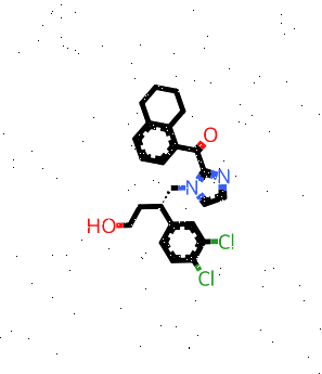 O=C(c1cccc2c1CCCC2)c1nccn1C[C@@H](CCO)c1ccc(Cl)c(Cl)c1